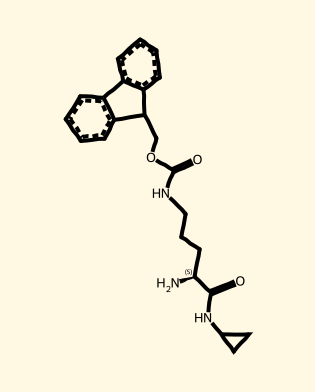 N[C@@H](CCCNC(=O)OCC1c2ccccc2-c2ccccc21)C(=O)NC1CC1